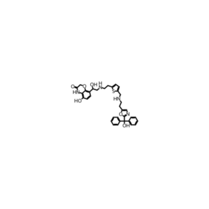 O=C1COc2c(C(O)CNCCc3ccc(CNCCc4cnc(C(O)(c5ccccc5)c5ccccc5)o4)s3)ccc(O)c2N1